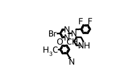 Cc1cc(C#N)cc(C)c1Oc1nc(N(Cc2cccc(F)c2F)C2CCNCC2)ncc1Br